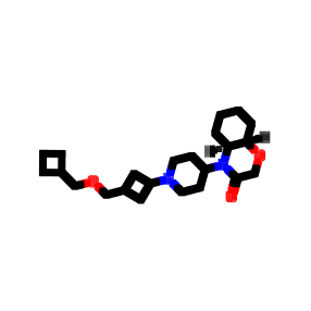 O=C1CO[C@H]2CCCC[C@@H]2N1C1CCN(C2CC(COCC3CCC3)C2)CC1